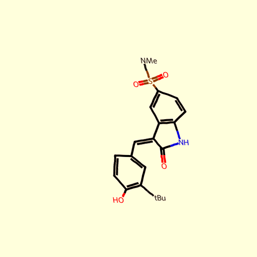 CNS(=O)(=O)c1ccc2c(c1)C(=Cc1ccc(O)c(C(C)(C)C)c1)C(=O)N2